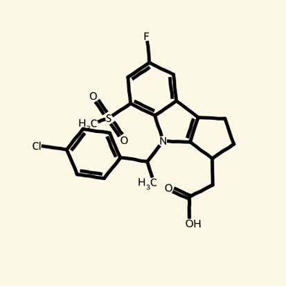 CC(c1ccc(Cl)cc1)n1c2c(c3cc(F)cc(S(C)(=O)=O)c31)CCC2CC(=O)O